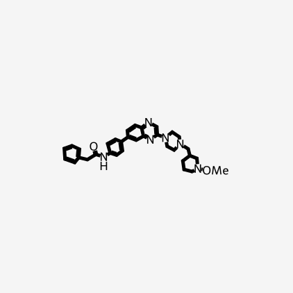 CON1CCCC(CN2CCN(c3cnc4ccc(-c5ccc(NC(=O)Cc6ccccc6)cc5)cc4n3)CC2)C1